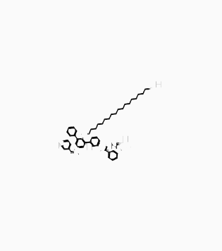 CCCCCCCCCCCCCCCCCCCCOc1c(-c2ccccc2)cc(N=C(C)c2cccnc2)cc1-c1ccccc1.C[C]([Co])=Nc1ccccc1C(C)(C)C